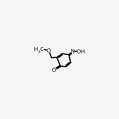 COCC1=C/C(=N/O)C=CC1=O